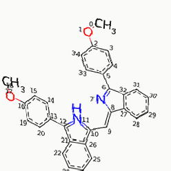 COc1ccc(C2=N/C(=C\c3[nH]c(-c4ccc(OC)cc4)c4ccccc34)c3ccccc32)cc1